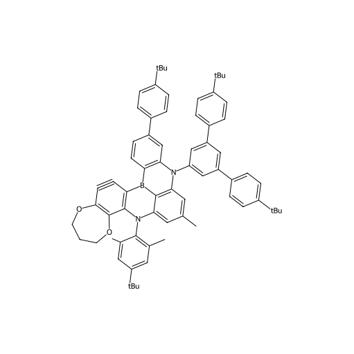 Cc1cc2c3c(c1)N(c1c(C)cc(C(C)(C)C)cc1C)c1c(c#cc4c1OCCCO4)B3c1ccc(-c3ccc(C(C)(C)C)cc3)cc1N2c1cc(-c2ccc(C(C)(C)C)cc2)cc(-c2ccc(C(C)(C)C)cc2)c1